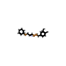 Cc1ccc(CSS/C=C/CSC2=CCCC=C2)cc1C